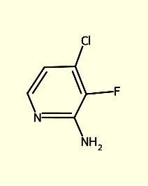 Nc1nccc(Cl)c1F